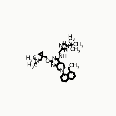 CCc1cccc2cccc(N3CCc4c(nc(OCC5(CN(C)C)CC5)nc4NCc4nnn(C(C)(C)C)n4)C3)c12